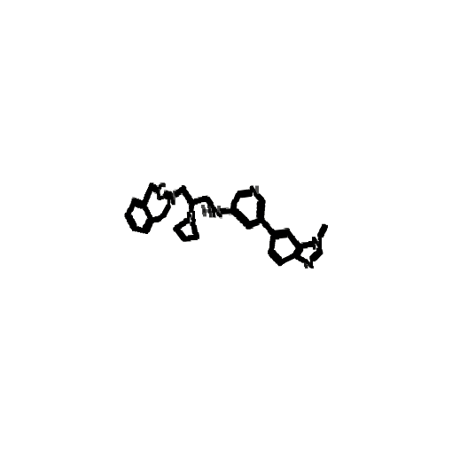 Cn1cnc2ccc(-c3cncc(NCC(CN4CCc5ccccc5C4)N4CCC4)c3)cc21